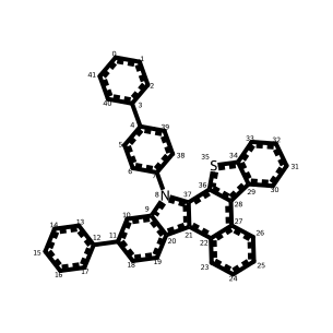 c1ccc(-c2ccc(-n3c4cc(-c5ccccc5)ccc4c4c5ccccc5c5c6ccccc6sc5c43)cc2)cc1